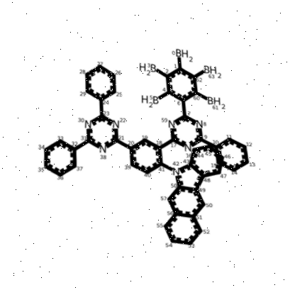 Bc1c(B)c(B)c(-c2nc(-c3ccccc3)nc(-c3cc(-c4nc(-c5ccccc5)nc(-c5ccccc5)n4)ccc3-n3c4ccccc4c4cc5ccccc5cc43)n2)c(B)c1B